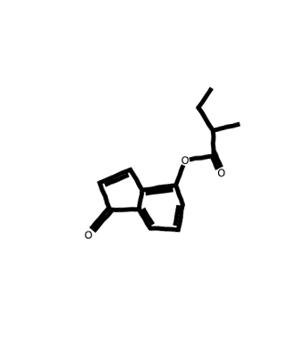 CCC(C)C(=O)Oc1cccc2c1C=CC2=O